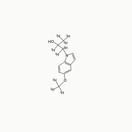 [2H]C([2H])([2H])Oc1ccc2c(ccn2C([2H])([2H])C([2H])(O)C([2H])([2H])[2H])c1